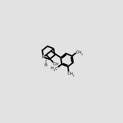 Cc1cc(C)c(C)c(C2C3CCN(CC3)[C@@H]2C)c1